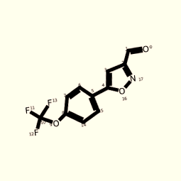 O=[C]c1cc(-c2ccc(OC(F)(F)F)cc2)on1